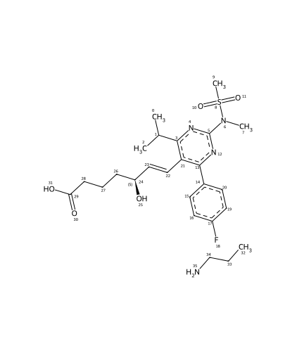 CC(C)c1nc(N(C)S(C)(=O)=O)nc(-c2ccc(F)cc2)c1C=C[C@@H](O)CCCC(=O)O.CCCN